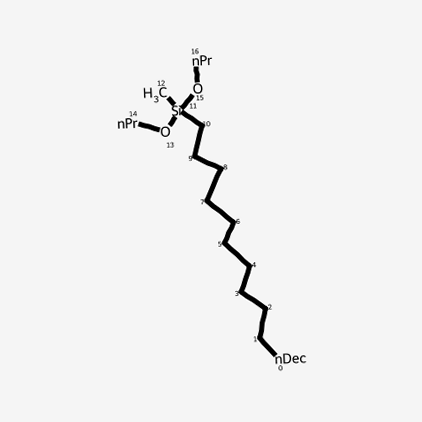 CCCCCCCCCCCCCCCCCCCC[Si](C)(OCCC)OCCC